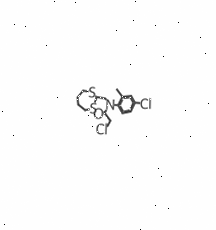 Cc1cc(Cl)ccc1N(CC1SCCCCS1)C(=O)CCl